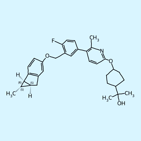 Cc1nc(OC2CCC(C(C)(C)O)CC2)ccc1-c1ccc(F)c(COc2ccc3c(c2)C[C@H]2[C@H](C)[C@@H]32)c1